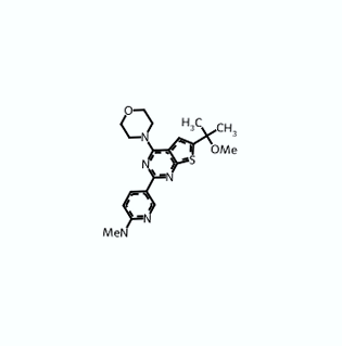 CNc1ccc(-c2nc(N3CCOCC3)c3cc(C(C)(C)OC)sc3n2)cn1